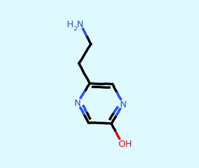 NCCc1cnc(O)cn1